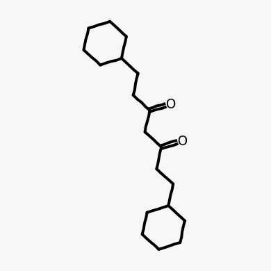 O=C(CCC1CCCCC1)CC(=O)CCC1CCCCC1